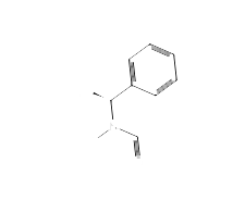 C[C@@H](c1ccccc1)N(C)C=O